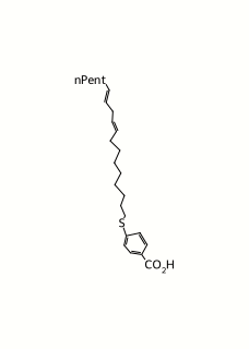 CCCCCC=CCC=CCCCCCCCCSc1ccc(C(=O)O)cc1